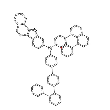 c1ccc(-c2ccccc2-c2ccc(-c3ccc(N(c4ccc(-c5cccc6cccc(-c7ccccc7)c56)cc4)c4ccc5c(c4)sc4c6ccccc6ccc54)cc3)cc2)cc1